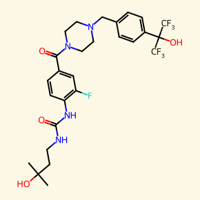 CC(C)(O)CCNC(=O)Nc1ccc(C(=O)N2CCN(Cc3ccc(C(O)(C(F)(F)F)C(F)(F)F)cc3)CC2)cc1F